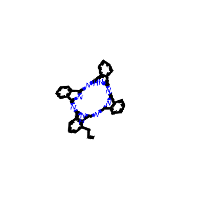 C=CCc1cccc2c3nc4nc(nc5[nH]c(nc6nc(nc([nH]3)c12)-c1ccccc1-6)c1ccccc51)-c1ccccc1-4